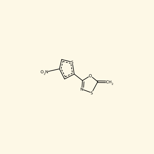 C=C1OC(c2cc([N+](=O)[O-])cs2)=NS1